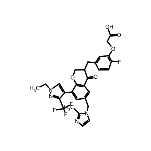 CCn1cc(-c2cc(Cn3ccnc3C)cc3c2OCC(Cc2ccc(F)c(OCC(=O)O)c2)C3=O)c(C(F)(F)F)n1